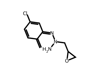 C=C1C=CC(Cl)=C/C1=N/N(N)CC1CO1